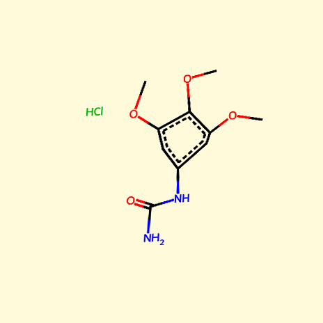 COc1cc(NC(N)=O)cc(OC)c1OC.Cl